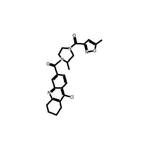 Cc1cc(C(=O)N2CCN(C(=O)c3ccc4c(Cl)c5c(nc4c3)CCCC5)C(C)C2)no1